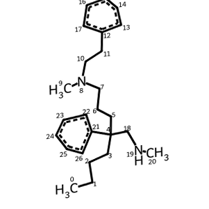 CCCCC(CCCN(C)CCc1ccccc1)(CNC)c1ccccc1